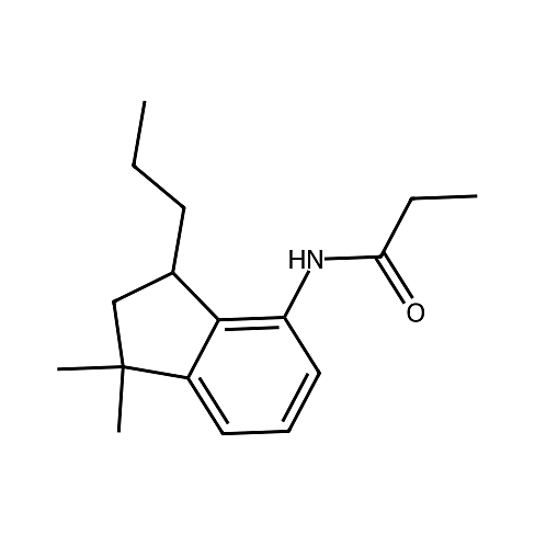 CCCC1CC(C)(C)c2cccc(NC(=O)CC)c21